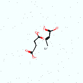 CC=CC(=O)[O-].O=C(O)CCC(=O)O.[Li+]